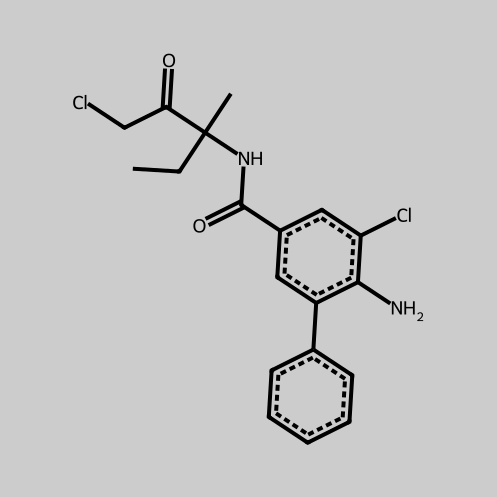 CCC(C)(NC(=O)c1cc(Cl)c(N)c(-c2ccccc2)c1)C(=O)CCl